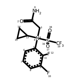 NC(=O)C[N+](c1cccc(F)c1F)(C1CC1)S(=O)(=O)C(F)(F)F